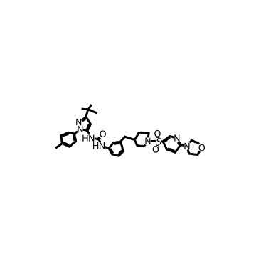 Cc1ccc(-n2nc(C(C)(C)C)cc2NC(=O)Nc2cccc(CC3CCN(S(=O)(=O)c4ccc(N5CCOCC5)nc4)CC3)c2)cc1